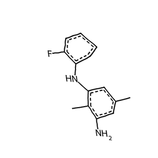 Cc1cc(N)c(C)c(Nc2ccccc2F)c1